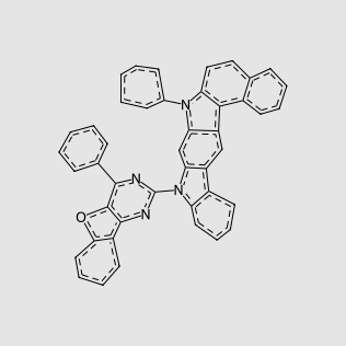 c1ccc(-c2nc(-n3c4ccccc4c4cc5c6c7ccccc7ccc6n(-c6ccccc6)c5cc43)nc3c2oc2ccccc23)cc1